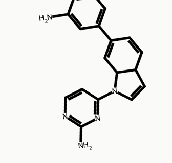 Nc1cccc(C2=CC3C(C=C2)C=CN3c2ccnc(N)n2)c1